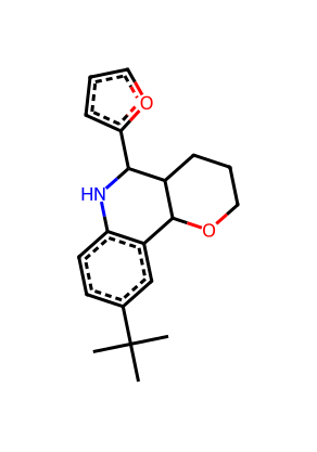 CC(C)(C)c1ccc2c(c1)C1OCCCC1C(c1ccco1)N2